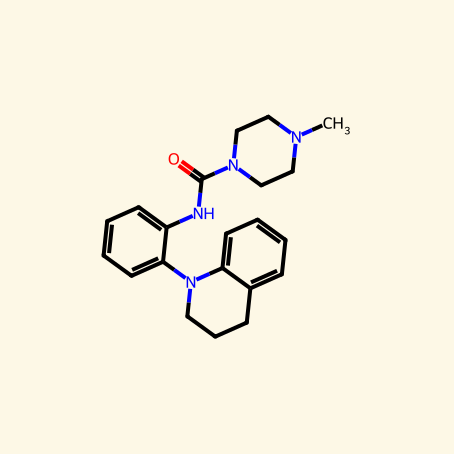 CN1CCN(C(=O)Nc2ccccc2N2CCCc3ccccc32)CC1